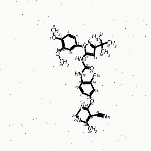 COc1ccc(-n2nc(C(C)(C)C)cc2NC(=O)Nc2ccc(Oc3ncnc(N)c3C#N)cc2F)cc1OC